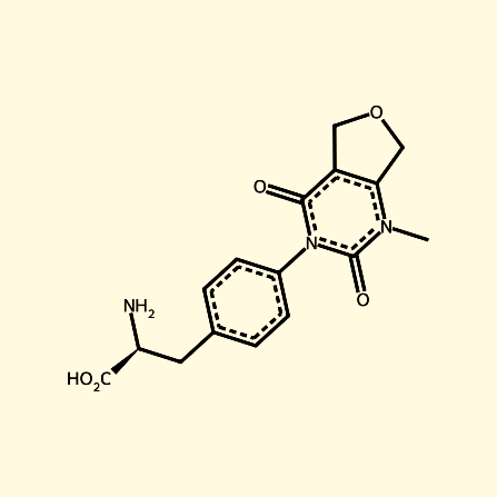 Cn1c2c(c(=O)n(-c3ccc(C[C@H](N)C(=O)O)cc3)c1=O)COC2